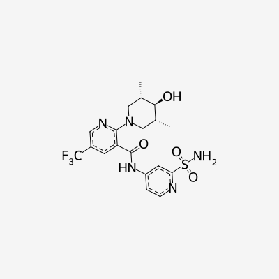 C[C@@H]1CN(c2ncc(C(F)(F)F)cc2C(=O)Nc2ccnc(S(N)(=O)=O)c2)C[C@H](C)[C@H]1O